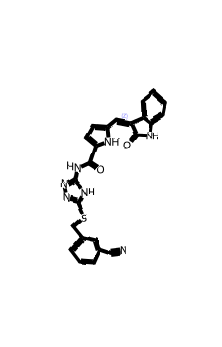 N#Cc1cccc(CSc2nnc(NC(=O)c3ccc(/C=C4\C(=O)Nc5ccccc54)[nH]3)[nH]2)c1